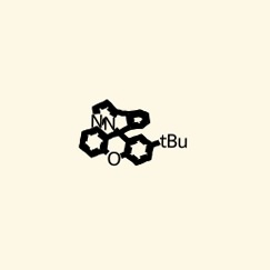 CC(C)(C)c1ccc2c(c1)C1(c3ccccc3O2)c2ccccc2-c2ccnn21